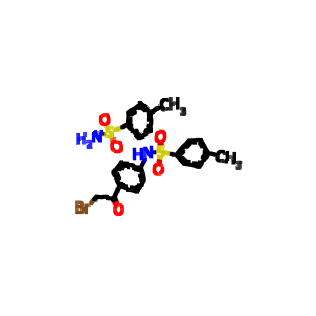 Cc1ccc(S(=O)(=O)Nc2ccc(C(=O)CBr)cc2)cc1.Cc1ccc(S(N)(=O)=O)cc1